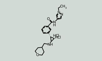 CCn1cc(NC(=O)c2cccc([C@@H]3C[C@H]3NCC3CCOCC3)c2)cn1.Cl.Cl